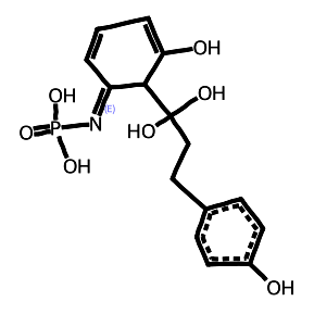 O=P(O)(O)/N=C1\C=CC=C(O)C1C(O)(O)CCc1ccc(O)cc1